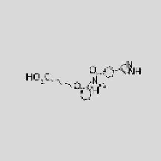 [2H]C1(N(Cc2ccccc2OCCCCCC(=O)O)C(=O)c2ccc(-c3cn[nH]c3)cc2)CC1